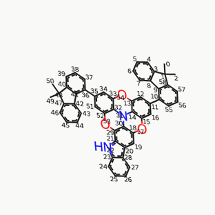 CC1(C)c2ccccc2-c2c(-c3cc4c5c(c3)Oc3cc6c([nH]c7ccccc76)c6c3N5c3c(cc(-c5cccc7c5-c5ccccc5C7(C)C)cc3O6)O4)cccc21